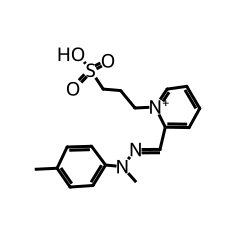 Cc1ccc(N(C)N=Cc2cccc[n+]2CCCS(=O)(=O)O)cc1